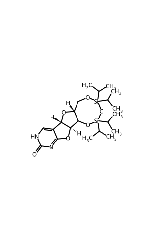 CC(C)[Si]1(C(C)C)OC[C@H]2O[C@H]3c4c[nH]c(=O)nc4O[C@@H]3C2O[Si](C(C)C)(C(C)C)O1